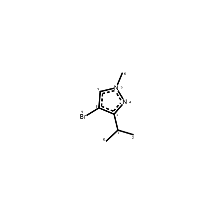 CC(C)c1nn(C)cc1Br